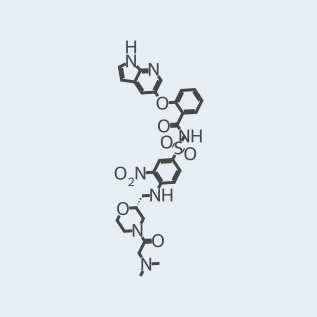 CN(C)CC(=O)N1CCO[C@H](CNc2ccc(S(=O)(=O)NC(=O)c3ccccc3Oc3cnc4[nH]ccc4c3)cc2[N+](=O)[O-])C1